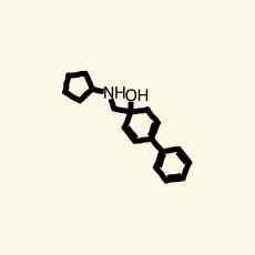 OC1(CNC2CCCC2)C=CC(c2ccccc2)=CC1